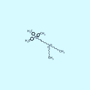 CCCCCCCOC(CCCCC/C=C/CCC[PH](c1ccc(C)cc1)(c1ccc(C)cc1)c1ccc(C)cc1)OCCCCCCC